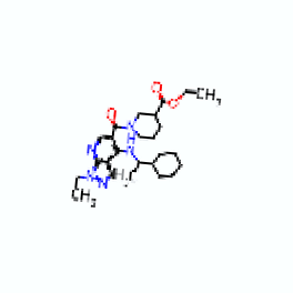 CCOC(=O)C1CCCN(C(=O)c2cnc3c(cnn3CC)c2NC(C)C2CCCCC2)C1